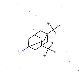 [2H]C([2H])([2H])C12CC3CC(N)(C1)CC(C([2H])([2H])[2H])(C3)C2